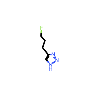 FCCCc1c[nH]nn1